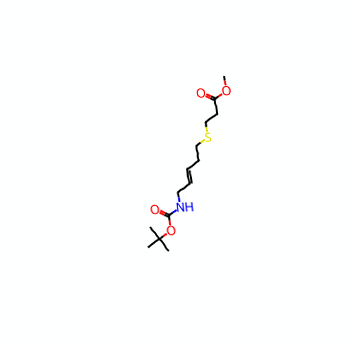 COC(=O)CCSCCC=CCNC(=O)OC(C)(C)C